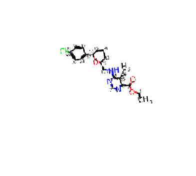 CCOC(=O)c1ncnc(NC[C@@H]2CCC[C@H](c3ccc(Cl)cc3)O2)c1C